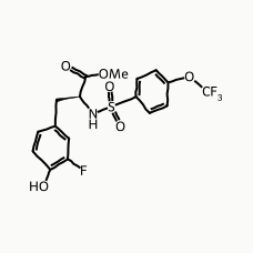 COC(=O)[C@H](Cc1ccc(O)c(F)c1)NS(=O)(=O)c1ccc(OC(F)(F)F)cc1